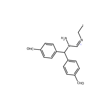 NN(/C=N\CI)C(c1ccc(C=O)cc1)c1ccc(C=O)cc1